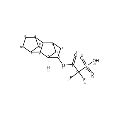 O=C(OC1CC2C[C@@H]1C1C3CCC(C3)C21)C(F)(F)S(=O)(=O)O